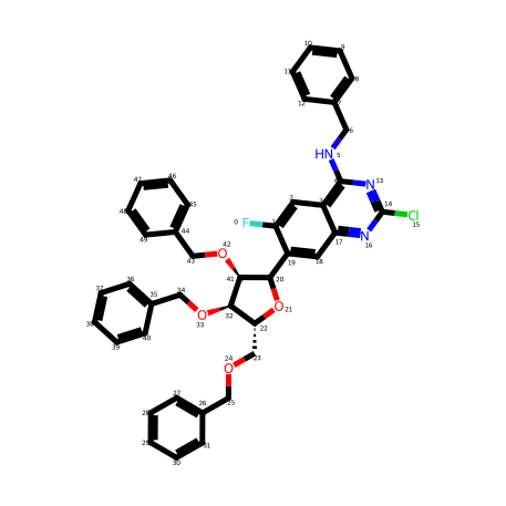 Fc1cc2c(NCc3ccccc3)nc(Cl)nc2cc1C1O[C@H](COCc2ccccc2)[C@@H](OCc2ccccc2)[C@H]1OCc1ccccc1